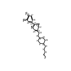 CCCCCC1CCC(CCc2cnc(-c3ccc(F)c(F)c3)nc2)CC1